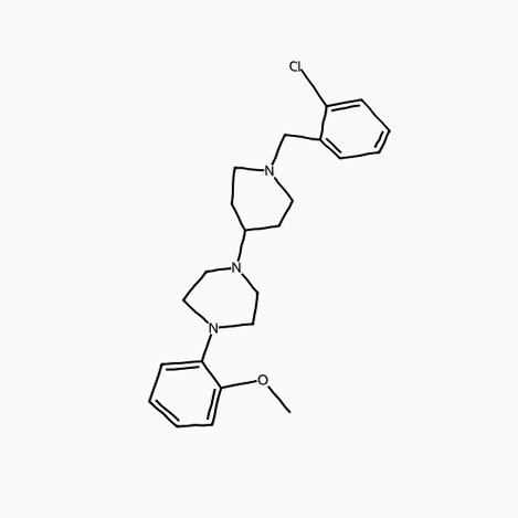 COc1ccccc1N1CCN(C2CCN(Cc3ccccc3Cl)CC2)CC1